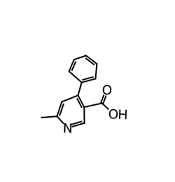 Cc1cc(-c2ccccc2)c(C(=O)O)cn1